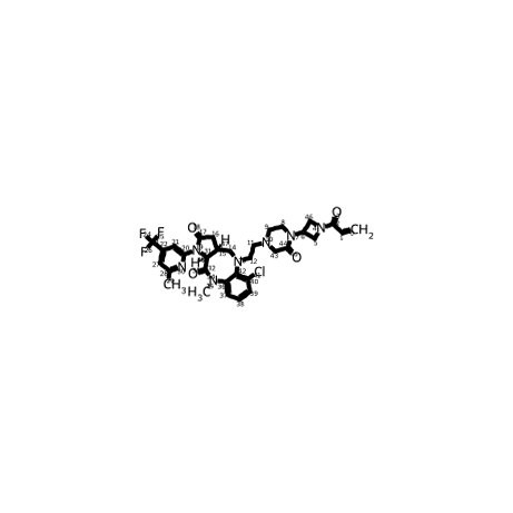 C=CC(=O)N1CC(N2CCN(CCN3C[C@H]4CC(=O)N(c5cc(C(F)(F)F)cc(C)n5)[C@@H]4C(=O)N(C)c4cccc(Cl)c43)CC2=O)C1